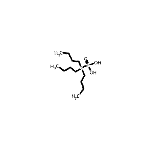 CCCCS(CCCC)(CCCC)P(=O)(O)O